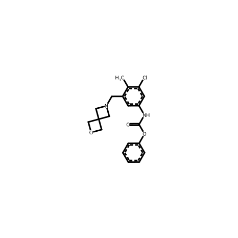 Cc1c(Cl)cc(NC(=O)Oc2ccccc2)cc1CN1CC2(COC2)C1